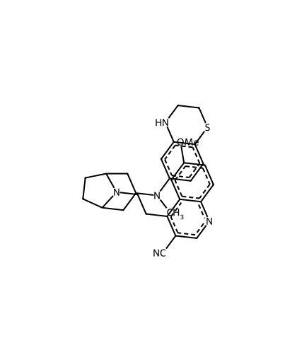 COc1ccc2ncc(C#N)c(CCN3C4CCC3CC(N(C)c3ccc5c(c3)NCCS5)C4)c2c1